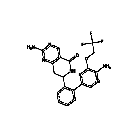 Nc1ncc2c(n1)CC(c1ccccc1-c1cnc(N)c(OCC(F)(F)F)n1)NC2=O